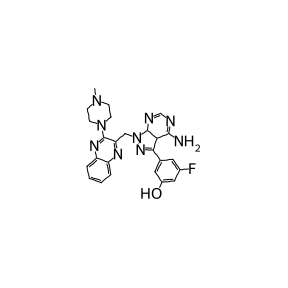 CN1CCN(c2nc3ccccc3nc2CN2N=C(c3cc(O)cc(F)c3)C3C(N)=NC=NC32)CC1